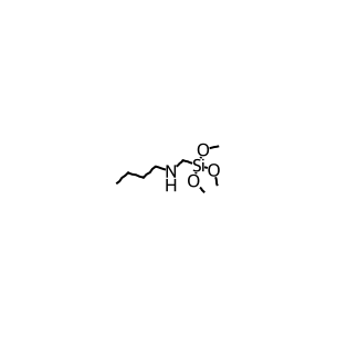 CCCCNC[Si](OC)(OC)OC